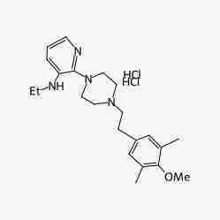 CCNc1cccnc1N1CCN(CCc2cc(C)c(OC)c(C)c2)CC1.Cl.Cl